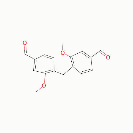 COc1cc(C=O)ccc1Cc1ccc(C=O)cc1OC